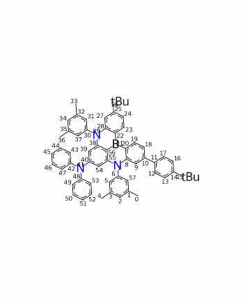 Cc1cc(C)cc(N2c3cc(-c4ccc(C(C)(C)C)cc4)ccc3B3c4ccc(C(C)(C)C)cc4N(c4cc(C)cc(C)c4)c4cc(N(c5ccccc5)c5ccccc5)cc2c43)c1